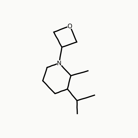 CC(C)C1CCCN(C2COC2)C1C